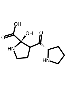 O=C(C1CCN[C@]1(O)C(=O)O)[C@@H]1CCCN1